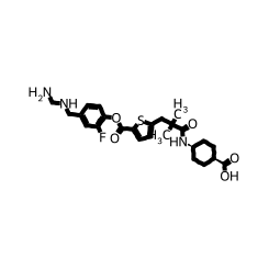 CC(C)(Cc1ccc(C(=O)Oc2ccc(CNCN)cc2F)s1)C(=O)N[C@H]1CC[C@H](C(=O)O)CC1